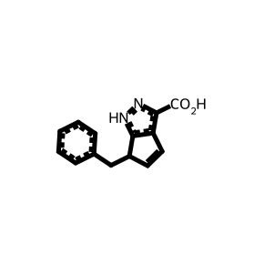 O=C(O)c1n[nH]c2c1C=CC2Cc1ccccc1